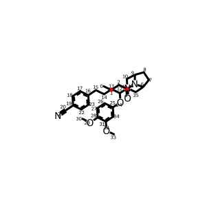 CCCC(=O)N1C2CCC1CN(C(CCCc1ccc(C#N)cc1)Oc1ccc(OC)c(OC)c1)C2